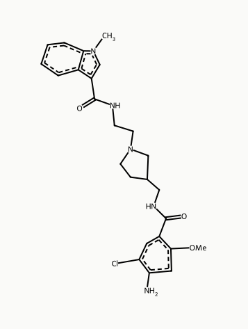 COc1cc(N)c(Cl)cc1C(=O)NCC1CCN(CCNC(=O)c2cn(C)c3ccccc23)C1